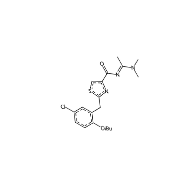 C/C(=N\C(=O)c1csc(Cc2cc(Cl)ccc2OCC(C)C)n1)N(C)C